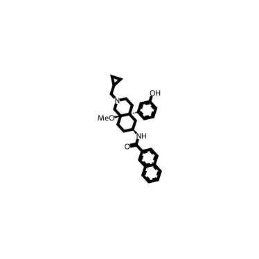 CO[C@]12CC[C@H](NC(=O)c3ccc4ccccc4c3)C[C@]1(c1cccc(O)c1)CCN(CC1CC1)C2